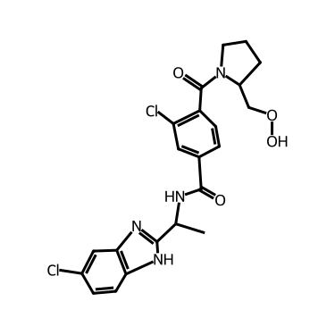 CC(NC(=O)c1ccc(C(=O)N2CCCC2COO)c(Cl)c1)c1nc2cc(Cl)ccc2[nH]1